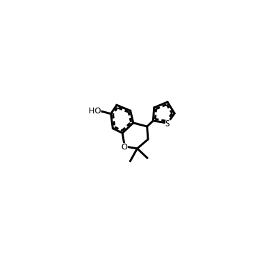 CC1(C)CC(c2cccs2)c2ccc(O)cc2O1